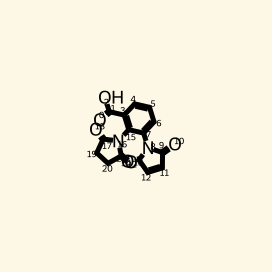 O=C(O)c1cccc(N2C(=O)C=CC2=O)c1N1C(=O)CCC1=O